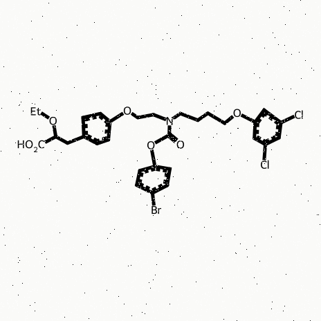 CCOC(Cc1ccc(OCCN(CCCCOc2cc(Cl)cc(Cl)c2)C(=O)Oc2ccc(Br)cc2)cc1)C(=O)O